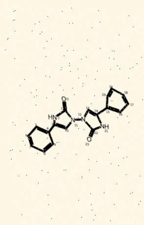 O=c1[nH]c(-c2ccccc2)cn1-n1cc(-c2ccccc2)[nH]c1=O